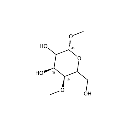 CO[C@@H]1OC(CO)[C@@H](OC)[C@@H](O)C1O